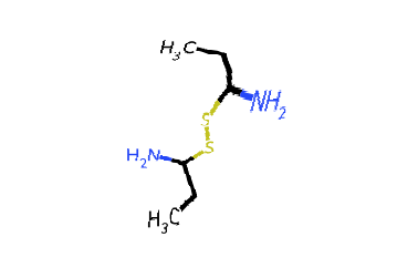 CCC(N)SSC(N)CC